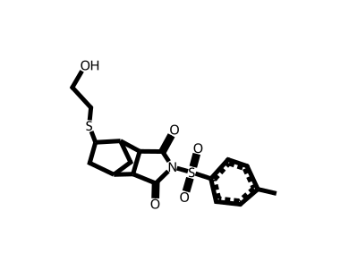 Cc1ccc(S(=O)(=O)N2C(=O)C3C4CC(SCCO)C(C4)C3C2=O)cc1